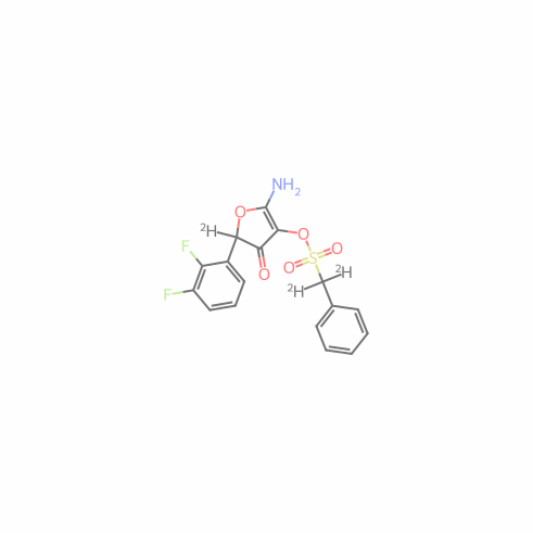 [2H]C1(c2cccc(F)c2F)OC(N)=C(OS(=O)(=O)C([2H])([2H])c2ccccc2)C1=O